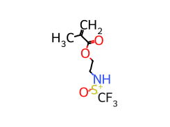 C=C(C)C(=O)OCCN[S+]([O-])C(F)(F)F